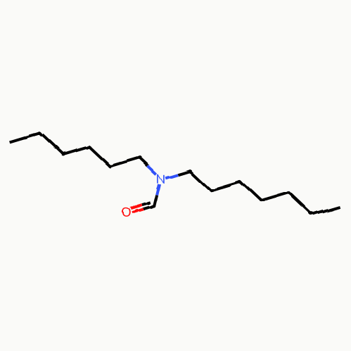 CCCCCCCN(C=O)CCCCCC